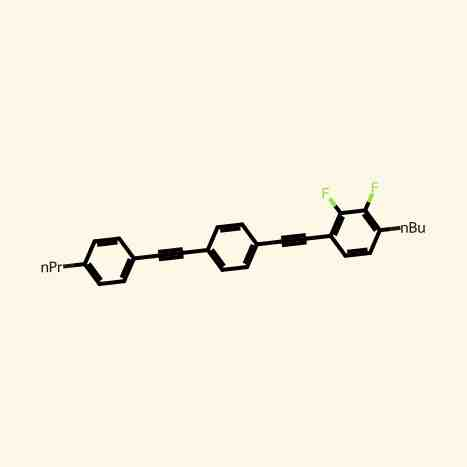 CCCCc1ccc(C#Cc2ccc(C#Cc3ccc(CCC)cc3)cc2)c(F)c1F